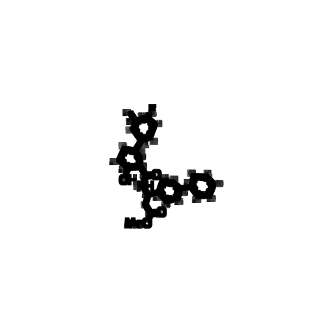 COC(=O)CC(NC(=O)c1cc(-c2ccc(F)c(C)c2)ccc1O)c1ccc(-c2ccccc2)cc1